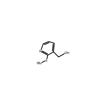 CC(C)(C)Sc1ncccc1CO